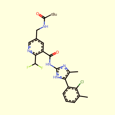 Cc1cccc(-c2[nH]c(NC(=O)c3cc(CNC(=O)C(C)(C)C)cnc3C(F)F)nc2C)c1Cl